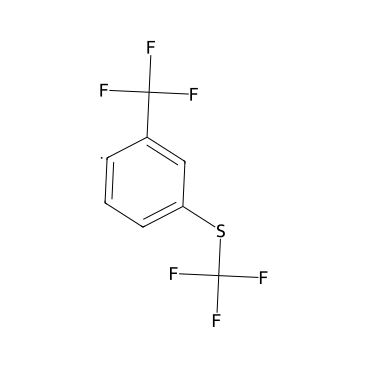 FC(F)(F)Sc1cc[c]c(C(F)(F)F)c1